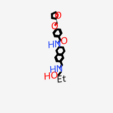 CCC(O)CNCc1ccc2c(c1)CC[C@H](NC(=O)c1ccc(OC[C@@H]3CCCO3)cc1)C2